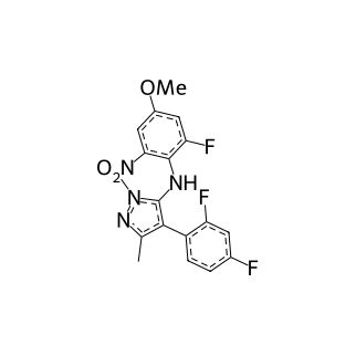 COc1cc(F)c(Nc2c(-c3ccc(F)cc3F)c(C)nn2C)c([N+](=O)[O-])c1